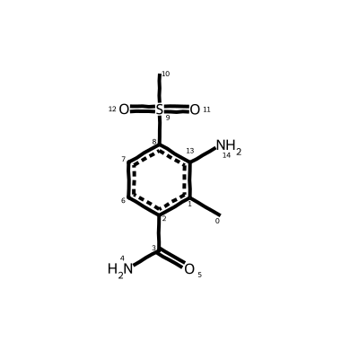 Cc1c(C(N)=O)ccc(S(C)(=O)=O)c1N